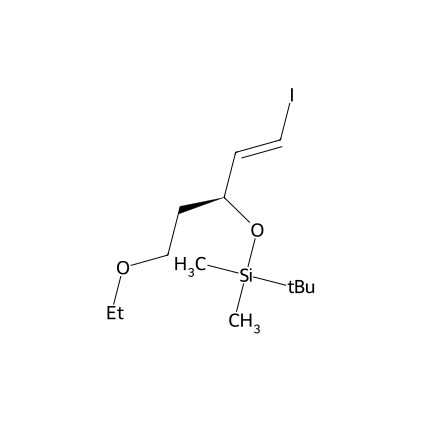 CCOCC[C@@H](/C=C/I)O[Si](C)(C)C(C)(C)C